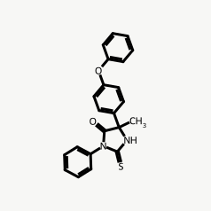 CC1(c2ccc(Oc3ccccc3)cc2)NC(=S)N(c2ccccc2)C1=O